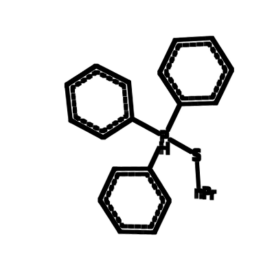 CCCS[PH](c1ccccc1)(c1ccccc1)c1ccccc1